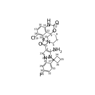 Nc1c(C(=O)N2CCC[C@@]3(C2)OC(=O)Nc2ccc(Cl)c(F)c23)cnn1C1(c2ccc(F)cc2)CCC1